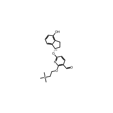 C[Si](C)(C)CCOc1nc(O[C@H]2CCc3c(O)cccc32)ccc1C=O